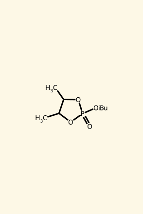 CC(C)COP1(=O)OC(C)C(C)O1